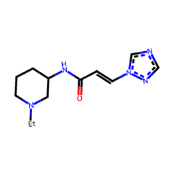 CCN1CCCC(NC(=O)/C=C/n2cncn2)C1